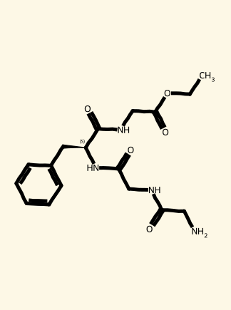 CCOC(=O)CNC(=O)[C@H](Cc1ccccc1)NC(=O)CNC(=O)CN